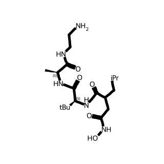 CC(C)CC(CC(=O)NO)C(=O)N[C@H](C(=O)N[C@@H](C)C(=O)NCCN)C(C)(C)C